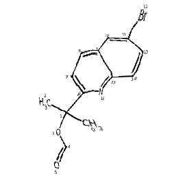 CC(C)(OC=O)c1ccc2cc(Br)ccc2n1